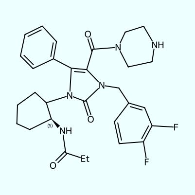 CCC(=O)N[C@H]1CCCCC1n1c(-c2ccccc2)c(C(=O)N2CCNCC2)n(Cc2ccc(F)c(F)c2)c1=O